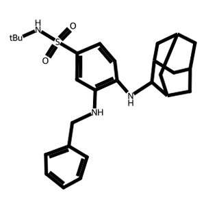 CC(C)(C)NS(=O)(=O)c1ccc(NC2C3CC4CC(C3)CC2C4)c(NCc2ccccc2)c1